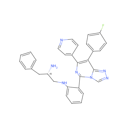 N[C@H](CNc1ccccc1-c1nc(-c2ccncc2)c(-c2ccc(F)cc2)c2nncn12)Cc1ccccc1